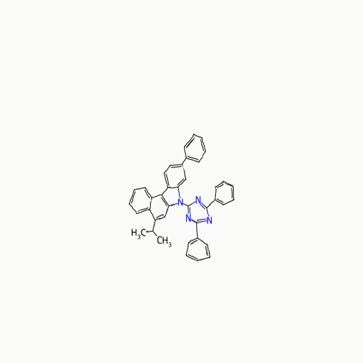 CC(C)c1cc2c(c3ccccc13)c1ccc(-c3ccccc3)cc1n2-c1nc(-c2ccccc2)nc(-c2ccccc2)n1